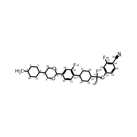 CC1CCC(C2COC(c3ccc(C4CCC(C(F)(F)Oc5ccc(C#N)c(F)c5)CC4)c(F)c3)OC2)CC1